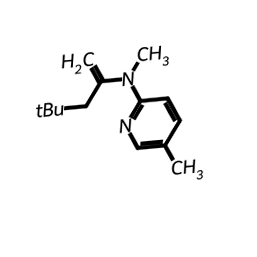 C=C(CC(C)(C)C)N(C)c1ccc(C)cn1